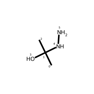 CC(C)(O)NN